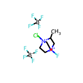 CC1C[N+]2(F)CC[N+]1(Cl)CC2.F[B-](F)(F)F.F[B-](F)(F)F